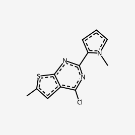 Cc1cc2c(Cl)nc(-c3cccn3C)nc2s1